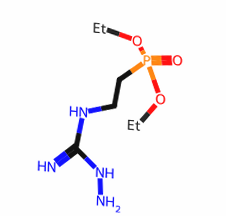 CCOP(=O)(CCNC(=N)NN)OCC